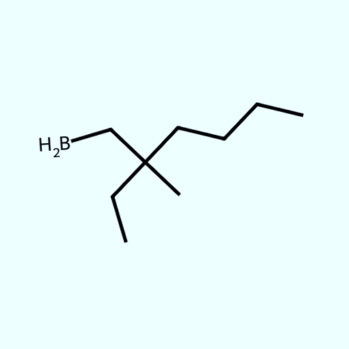 BCC(C)(CC)CCCC